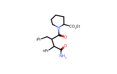 CCCC(C(N)=O)C(CC(C)C)C(=O)N1CCCCC1C(=O)OCC